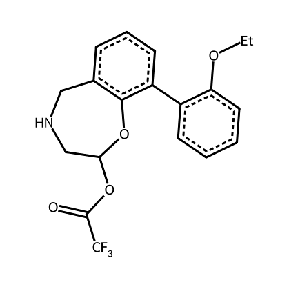 CCOc1ccccc1-c1cccc2c1OC(OC(=O)C(F)(F)F)CNC2